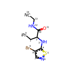 CC(C)CC(Nc1sncc1Br)C(=O)NCC#N